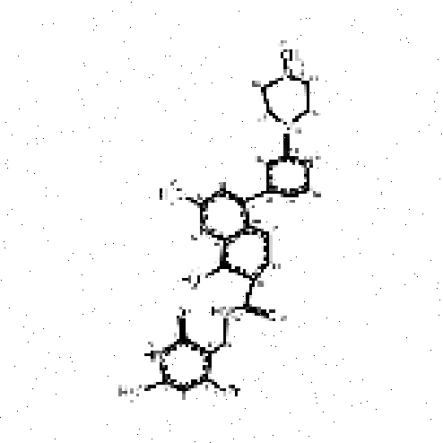 CCCc1cc(C)[nH]c(=O)c1CNC(=O)c1ccc2c(-c3ccnc(N4CCN(C)CC4)c3)cc(C)nc2c1C